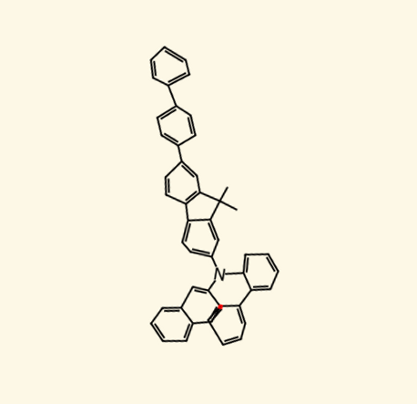 CC1(C)c2cc(-c3ccc(-c4ccccc4)cc3)ccc2-c2ccc(N(c3ccc4ccccc4c3)c3ccccc3-c3ccccc3)cc21